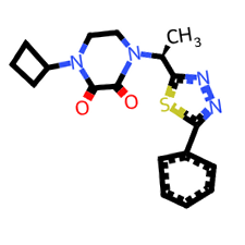 C[C@@H](c1nnc(-c2ccccc2)s1)N1CCN(C2CCC2)C(=O)C1=O